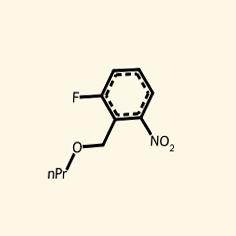 CCCOCc1c(F)cccc1[N+](=O)[O-]